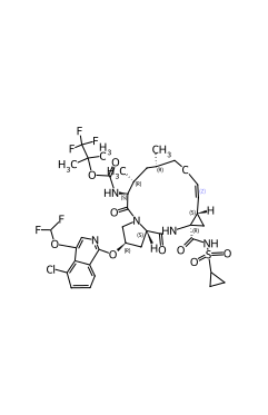 C[C@@H]1CC/C=C\[C@@H]2C[C@@]2(C(=O)NS(=O)(=O)C2CC2)NC(=O)[C@@H]2C[C@@H](Oc3ncc(OC(F)F)c4c(Cl)cccc34)CN2C(=O)[C@@H](NC(=O)OC(C)(C)C(F)(F)F)[C@H](C)C1